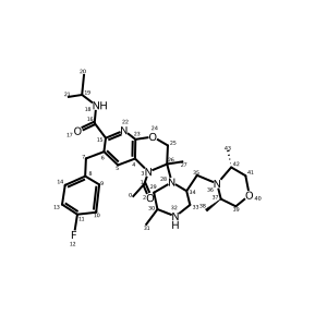 CC(=O)N1c2cc(Cc3ccc(F)cc3)c(C(=O)NC(C)C)nc2OCC1(C)N1CC(C)NCC1CN1[C@H](C)COC[C@H]1C